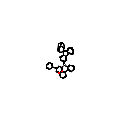 c1ccc(-c2cccc(N(c3ccc4c(c3)-c3ccccc3C43C4CC5CC(C4)CC3C5)c3ccccc3-c3ccccc3)c2)cc1